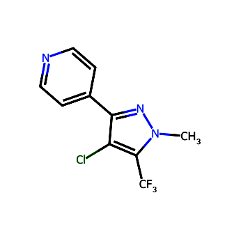 Cn1nc(-c2ccncc2)c(Cl)c1C(F)(F)F